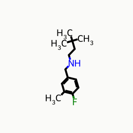 Cc1cc(CNCCC(C)(C)C)ccc1F